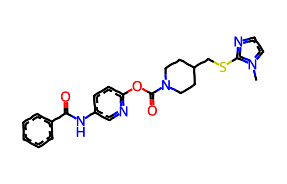 Cn1ccnc1SCC1CCN(C(=O)Oc2ccc(NC(=O)c3ccccc3)cn2)CC1